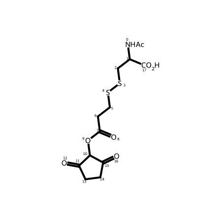 CC(=O)NC(CSSCCC(=O)OC1C(=O)CCC1=O)C(=O)O